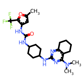 Cc1cc(NC(=O)NC2CCC(Nc3nc4c(c(N(C)C)n3)CCCC4)CC2)c(C(F)(F)F)o1